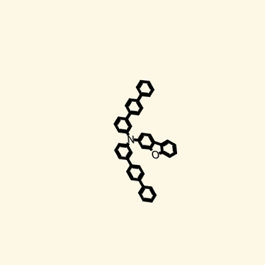 c1ccc(-c2ccc(-c3cccc(N(c4cccc(-c5ccc(-c6ccccc6)cc5)c4)c4ccc5c(c4)oc4ccccc45)c3)cc2)cc1